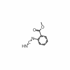 COC(=O)c1ccccc1N=C=N